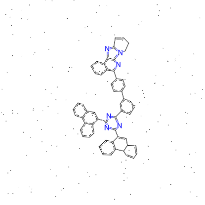 C1=CC2C=C(c3nc(-c4cccc(-c5ccc(-c6nc7c(nc8n7CCC=C8)c7ccccc67)cc5)c4)nc(-c4cc5ccccc5c5ccccc45)n3)c3ccccc3C2C=C1